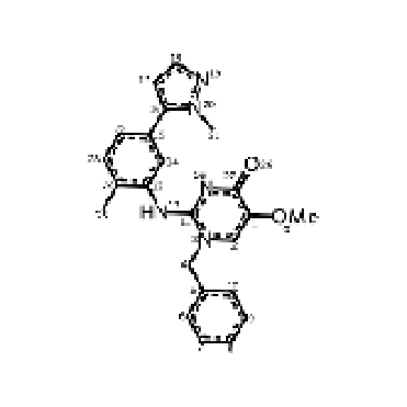 COc1cn(Cc2ccccc2)c(Nc2cc(-c3ccnn3C)ccc2C)nc1=O